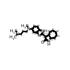 CN(C)CCCN(C)c1ccc2[nH]c(-c3c4cccccc-4[nH]c3=O)nc2c1